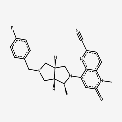 C[C@H]1[C@@H]2CN(Cc3ccc(F)cc3)C[C@@H]2CN1c1cc(=O)n(C)c2ccc(C#N)nc12